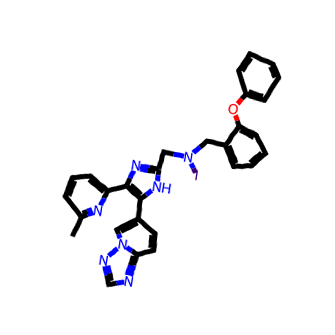 Cc1cccc(-c2nc(CN(I)Cc3ccccc3Oc3ccccc3)[nH]c2-c2ccc3ncnn3c2)n1